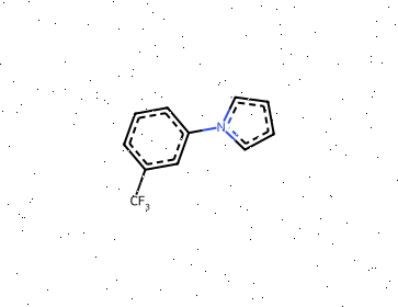 FC(F)(F)c1cccc(-n2[c]ccc2)c1